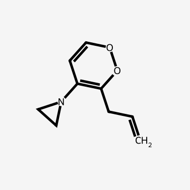 C=CCC1=C(N2CC2)C=COO1